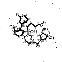 COCCCC[C@@](O)(c1cccc(Cl)c1-c1cccc(C)c1)[C@@H]1CCCN(C(=O)[C@H]2C[C@@H](N)[C@@H](O)C2)C1